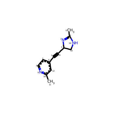 CC1=NC(C#Cc2ccnc(C)c2)CN1